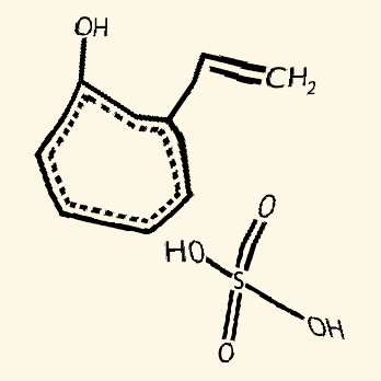 C=Cc1ccccc1O.O=S(=O)(O)O